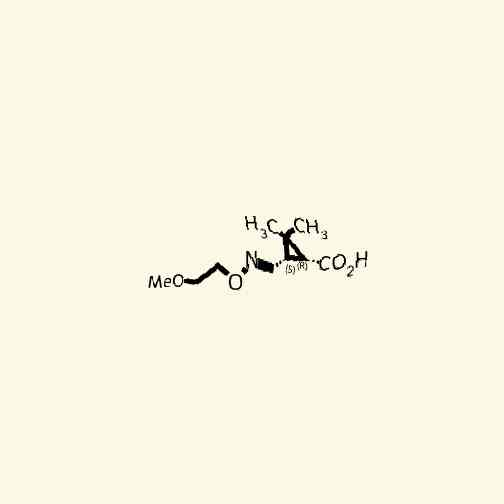 COCCON=C[C@H]1[C@@H](C(=O)O)C1(C)C